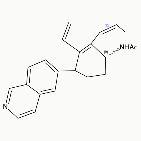 C=CC1=C(/C=C\C)[C@H](NC(C)=O)CCC1c1ccc2cnccc2c1